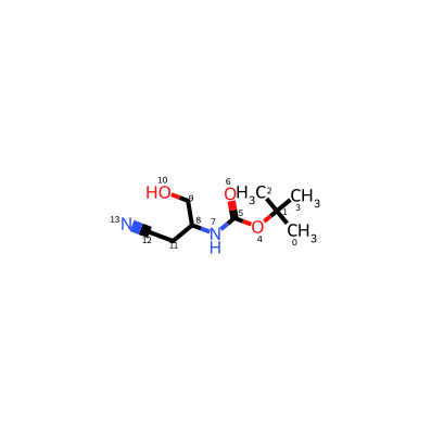 CC(C)(C)OC(=O)NC(CO)CC#N